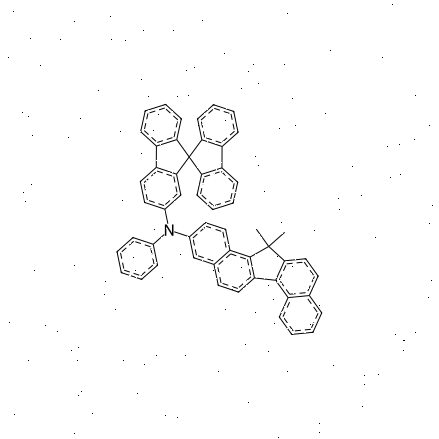 CC1(C)c2ccc3ccccc3c2-c2ccc3cc(N(c4ccccc4)c4ccc5c(c4)C4(c6ccccc6-c6ccccc64)c4ccccc4-5)ccc3c21